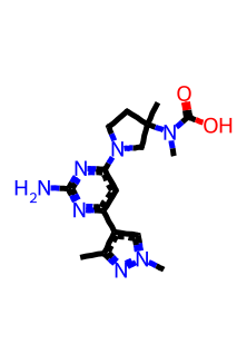 Cc1nn(C)cc1-c1cc(N2CCC(C)(N(C)C(=O)O)C2)nc(N)n1